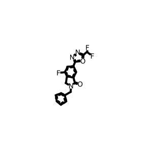 O=C1c2cc(-c3nnc(C(F)F)o3)cc(F)c2CN1Cc1ccccc1